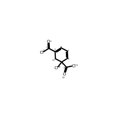 O=C(Cl)C1=CC=CC(Cl)(C(=O)Cl)C1